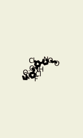 COCCOc1ccc(-c2cc(Cl)cc(NC(=O)c3cc(N4CCC[S+]4[O-])cc(F)c3Cl)c2)cn1